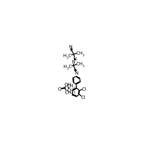 C=C.CC(=O)O.CC(C)(C#N)N=NC(C)(C)C#N.Clc1cccc(-c2ccccc2)c1Cl